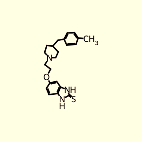 Cc1ccc(CC2CCN(CCOc3ccc4[nH]c(=S)[nH]c4c3)CC2)cc1